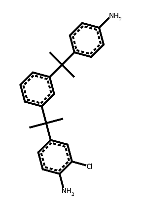 CC(C)(c1ccc(N)cc1)c1cccc(C(C)(C)c2ccc(N)c(Cl)c2)c1